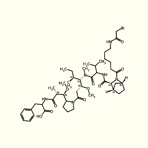 CC[C@H](C)[C@@H]([C@@H](CC(=O)N1CCCC1[C@H](OC)[C@@H](C)C(=O)NC(Cc1ccccc1)C(=O)O)OC)N(C)C(=O)C(NC(=O)[C@@H]1[C@H]2CC[C@H](C2)N1C(=O)CCCCCNC(=O)CBr)C(C)C